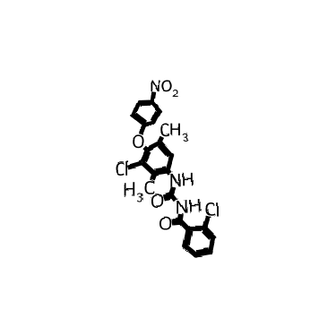 Cc1cc(NC(=O)NC(=O)c2ccccc2Cl)c(C)c(Cl)c1Oc1ccc([N+](=O)[O-])cc1